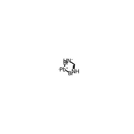 N=C[NH-].[Br][Pb+][Br]